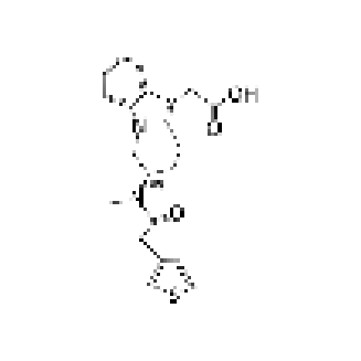 CN(C(=O)Cc1ccsc1)[C@@H]1CCc2c(CC(=O)O)c3ccccc3n2C1